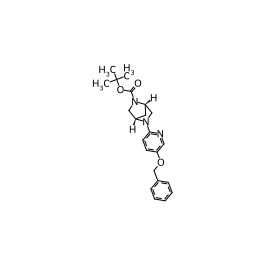 CC(C)(C)OC(=O)N1C[C@@H]2C[C@H]1CN2c1ccc(OCc2ccccc2)cn1